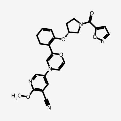 COc1ncc(N2C=COC(C3=C(O[C@H]4CCN(C(=O)c5ccno5)C4)C=CCC3)=C2)cc1C#N